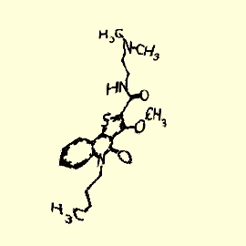 CCCCn1c(=O)c2c(OC)c(C(=O)NCCN(C)C)sc2c2ccccc21